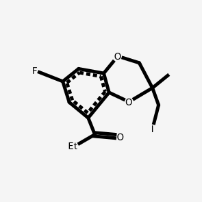 CCC(=O)c1cc(F)cc2c1OC(C)(CI)CO2